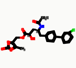 Cc1oc(=O)oc1COC(=O)[C@H](O)C[C@@H](Cc1ccc(-c2cccc(Cl)c2)cc1)NC(=O)C(=O)O